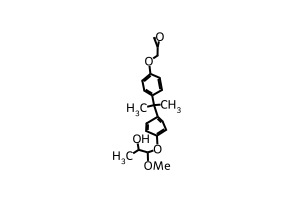 COC(Oc1ccc(C(C)(C)c2ccc(OCC3CO3)cc2)cc1)C(C)O